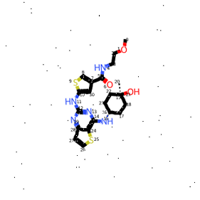 COCCNC(=O)c1csc(Nc2nc(N[C@H]3CC[C@](C)(O)CC3)c3sccc3n2)c1